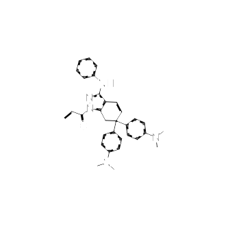 C=CC(=O)n1nc(Nc2ccccc2)c2c1CC(c1ccc(N(C)C)cc1)(c1ccc(N(C)C)cc1)C=C2